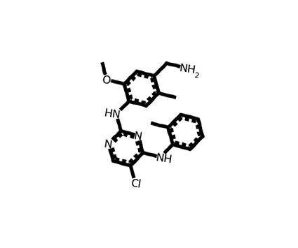 COc1cc(CN)c(C)cc1Nc1ncc(Cl)c(Nc2ccccc2C)n1